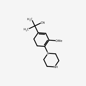 COC1=C(N2CCNCC2)CCC(C(C)(C)C#N)=C1